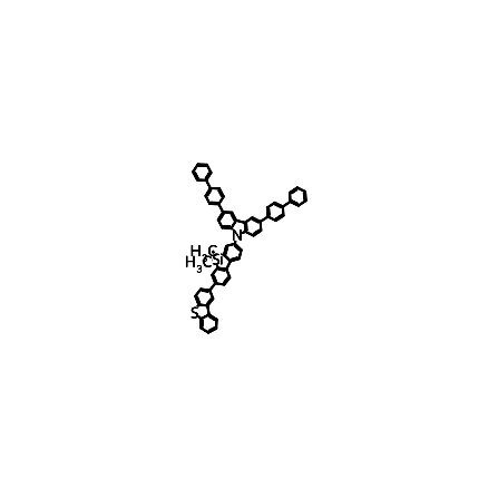 C[Si]1(C)c2cc(-c3ccc4sc5ccccc5c4c3)ccc2-c2ccc(-n3c4ccc(-c5ccc(-c6ccccc6)cc5)cc4c4cc(-c5ccc(-c6ccccc6)cc5)ccc43)cc21